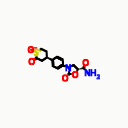 NC(=O)[C@H]1CN(c2ccc([C@@H]3CC[S@+]([O-])C(=O)C3)cc2)C(=O)O1